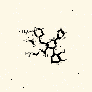 CCOC(=O)C1=C(CN2CCN[C@H](C)[C@H]2C(=O)O)NC(c2nccs2)=NC1c1cccc(F)c1Cl